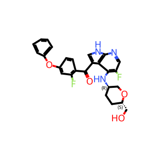 O=C(c1ccc(Oc2ccccc2)cc1F)c1c[nH]c2ncc(F)c(N[C@@H]3CC[C@@H](CO)OC3)c12